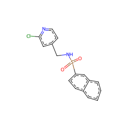 O=S(=O)(NCc1ccnc(Cl)c1)c1ccc2ccccc2c1